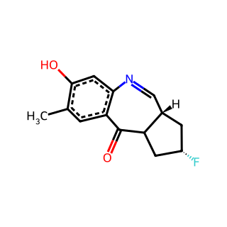 Cc1cc2c(cc1O)N=C[C@@H]1C[C@H](F)CC1C2=O